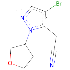 N#CCc1c(Br)cnn1C1CCOC1